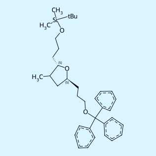 CC1C[C@H](CCCOC(c2ccccc2)(c2ccccc2)c2ccccc2)O[C@H]1CCCO[Si](C)(C)C(C)(C)C